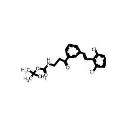 CC(C)(C)OC(=O)NCCC(=O)c1cccc(C=Cc2c(Cl)cccc2Cl)c1